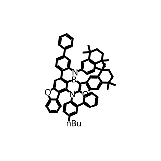 CCCCc1ccc(N2c3oc4cc5c(cc4c3B3c4c(cc6oc7ccccc7c6c42)-c2ccc(-c4ccccc4)cc2N3c2ccc3c(c2)C(C)(C)CCC3(C)C)C(C)(C)CCC5(C)C)c(-c2ccccc2)c1